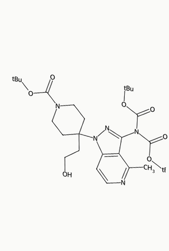 Cc1nccc2c1c(N(C(=O)OC(C)(C)C)C(=O)OC(C)(C)C)nn2C1(CCO)CCN(C(=O)OC(C)(C)C)CC1